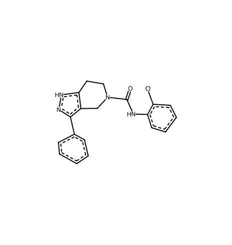 O=C(Nc1ccccc1Cl)N1CCc2[nH]nc(-c3ccccc3)c2C1